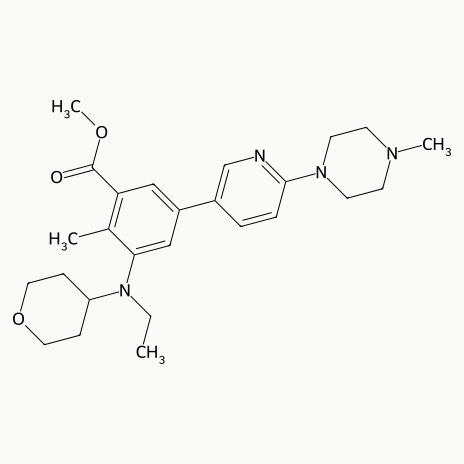 CCN(c1cc(-c2ccc(N3CCN(C)CC3)nc2)cc(C(=O)OC)c1C)C1CCOCC1